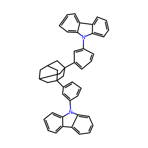 c1cc(-n2c3ccccc3c3ccccc32)cc(C23CC4CC(C2)CC(c2cccc(-n5c6ccccc6c6ccccc65)c2)(C4)C3)c1